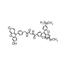 C/N=c1/ccc2c(-c3ccc(C(=O)NCC(=O)NCc4ccc(-c5c6ccc(=O)cc-6oc6cc(O)ccc56)cc4)cc3C(=O)O)c3ccc(N(C)C)cc3oc-2c1